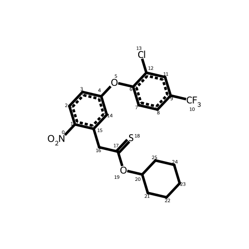 O=[N+]([O-])c1ccc(Oc2ccc(C(F)(F)F)cc2Cl)cc1CC(=S)OC1CCCCC1